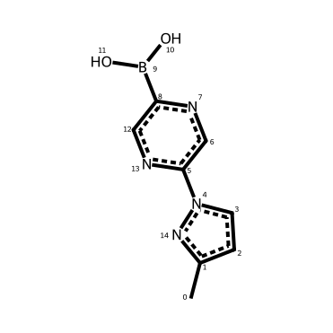 Cc1ccn(-c2cnc(B(O)O)cn2)n1